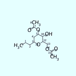 CCCC1CC(OC(C)=O)C(O)C(COC(C)=O)O1